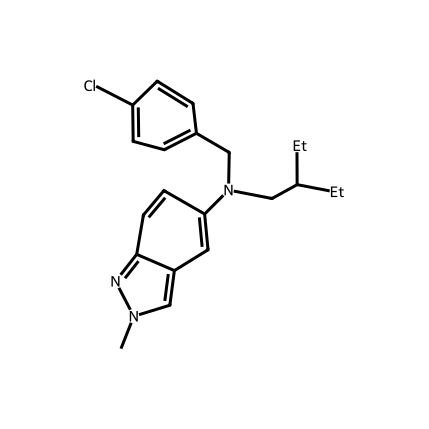 CCC(CC)CN(Cc1ccc(Cl)cc1)c1ccc2nn(C)cc2c1